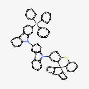 c1ccc([Si](c2ccccc2)(c2ccccc2)c2ccc3c4ccccc4n(-c4ccc5c(c4)c4ccccc4n5-c4ccc5c(c4)C4(c6ccccc6S5)c5ccccc5-c5ccccc54)c3c2)cc1